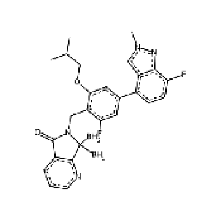 BC1(B)c2ncccc2C(=O)N1Cc1c(F)cc(-c2ccc(F)c3nn(C)cc23)cc1OCC(C)C